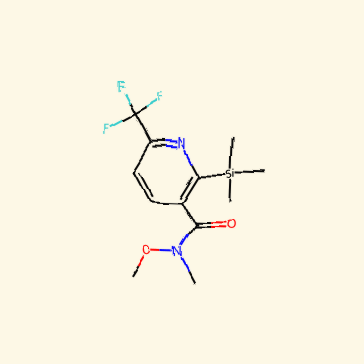 CON(C)C(=O)c1ccc(C(F)(F)F)nc1[Si](C)(C)C